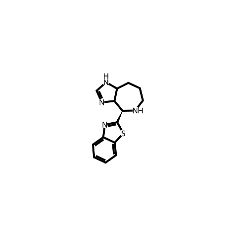 C1=NC2C(CCCN[C@H]2c2nc3ccccc3s2)N1